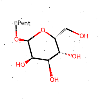 CCCCCO[C@H]1O[C@H](CO)[C@H](O)[C@@H](O)[C@H]1O